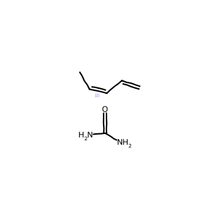 C=C/C=C\C.NC(N)=O